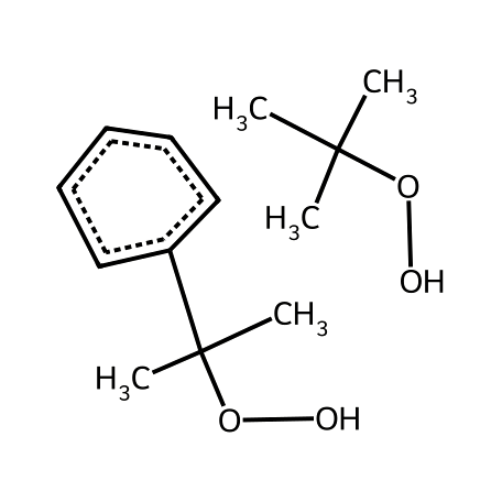 CC(C)(C)OO.CC(C)(OO)c1ccccc1